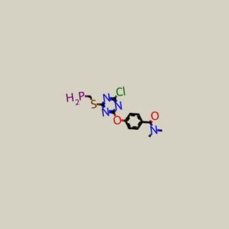 CN(C)C(=O)c1ccc(Oc2nc(Cl)nc(SCP)n2)cc1